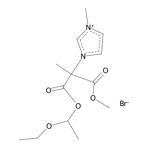 CCOC(C)OC(=O)C(C)(C(=O)OC)n1cc[n+](C)c1.[Br-]